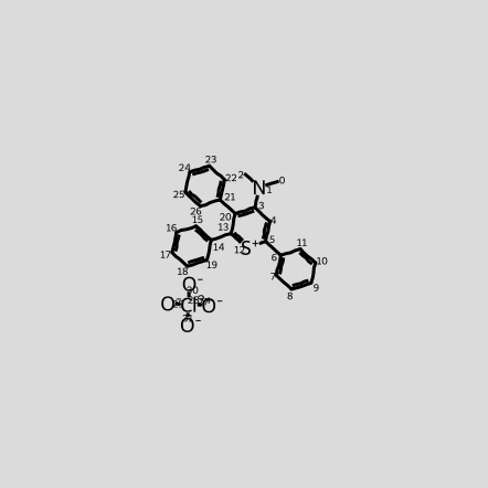 CN(C)c1cc(-c2ccccc2)[s+]c(-c2ccccc2)c1-c1ccccc1.[O-][Cl+3]([O-])([O-])[O-]